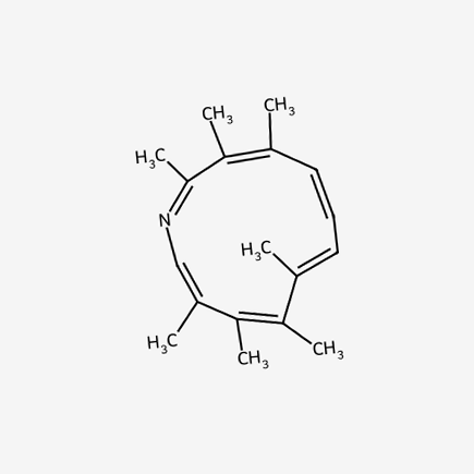 CC1=CN=C(C)C(C)=C(C)\C=C/C=C(C)/C(C)=C\1C